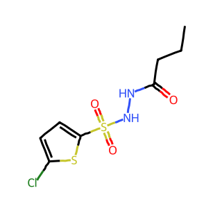 CCCC(=O)NNS(=O)(=O)c1ccc(Cl)s1